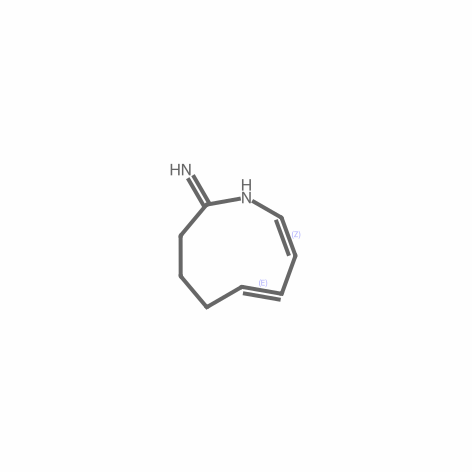 N=C1CCC/C=C/C=C\N1